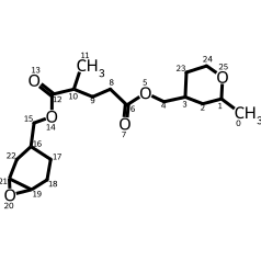 CC1CC(COC(=O)CCC(C)C(=O)OCC2CCC3OC3C2)CCO1